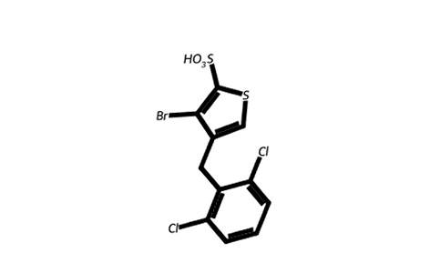 O=S(=O)(O)c1scc(Cc2c(Cl)cccc2Cl)c1Br